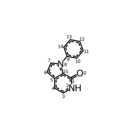 O=c1[nH]ccc2ccn(-c3ccccc3)c12